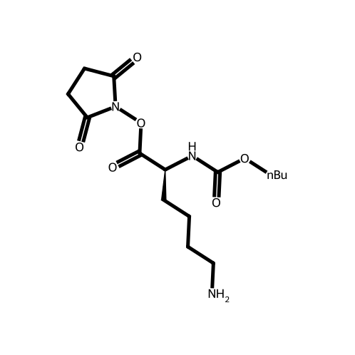 CCCCOC(=O)N[C@@H](CCCCN)C(=O)ON1C(=O)CCC1=O